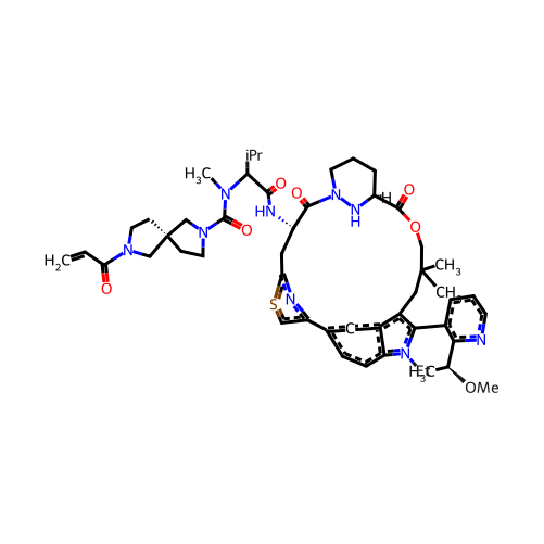 C=CC(=O)N1CC[C@]2(CCN(C(=O)N(C)C(C(=O)N[C@H]3Cc4nc(cs4)-c4ccc5c(c4)c(c(-c4cccnc4[C@H](C)OC)n5CC)CC(C)(C)COC(=O)[C@@H]4CCCN(N4)C3=O)C(C)C)C2)C1